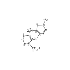 CC(=O)c1ccc(Sc2ccccc2C(=O)O)c([N+](=O)[O-])c1